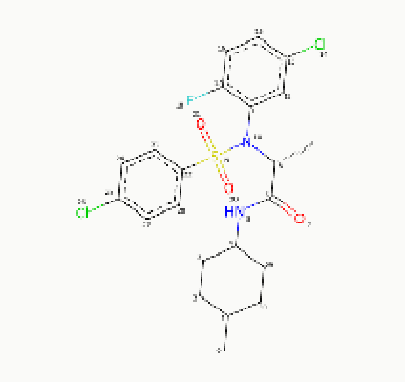 CC1CCC(NC(=O)[C@@H](C)N(c2cc(Cl)ccc2F)S(=O)(=O)c2ccc(Cl)cc2)CC1